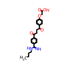 CCCCNC(=N)c1ccc(C(=O)CCC(=O)c2ccc(OCC(=O)O)cc2)cc1